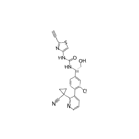 C#Cc1nc(NC(=O)N[C@H](CO)c2ccc(-c3cccnc3C3(C#N)CC3)c(Cl)c2)cs1